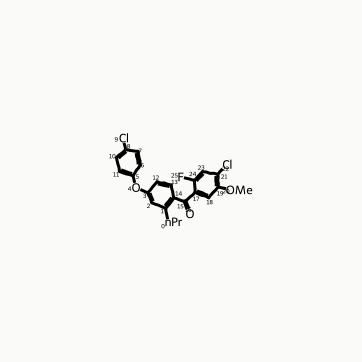 CCCc1cc(Oc2ccc(Cl)cc2)ccc1C(=O)c1cc(OC)c(Cl)cc1F